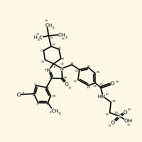 Cc1cc(Cl)cc(C2=NC3(CCC(C(C)(C)C)CC3)N(Cc3ccc(C(=O)NCCS(=O)(=O)O)cc3)C2=O)c1